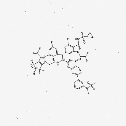 CN(c1cccc(-c2ccc3c(=O)n(-c4ccc(Cl)c5c(NS(=O)(=O)C6CC6)nn(CC(F)F)c45)c([C@H](Cc4cc(F)cc(F)c4)NC(=O)Cn4nc(C(F)F)c5c4C(F)(F)[C@@H]4C[C@H]54)nc3c2)c1)S(C)(=O)=O